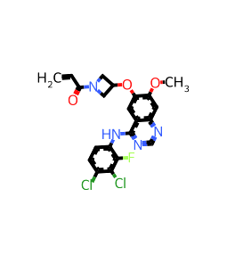 C=CC(=O)N1CC(Oc2cc3c(Nc4ccc(Cl)c(Cl)c4F)ncnc3cc2OC)C1